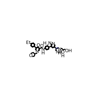 CCc1ccc(-c2cn(CC3CCOCC3)cc(C(=O)Nc3ccc(-c4cc(/C(C=N)=C/NCC(O)CO)cnc4N)cc3)c2=O)cc1